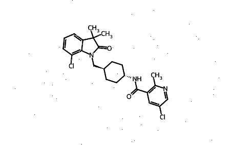 Cc1ncc(Cl)cc1C(=O)N[C@H]1CC[C@H](CN2C(=O)C(C)(C)c3cccc(Cl)c32)CC1